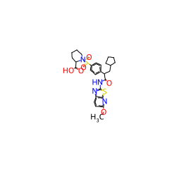 COc1ccc2nc(NC(=O)C(CC3CCCC3)c3ccc(S(=O)(=O)N4CCCCC4C(=O)O)cc3)sc2n1